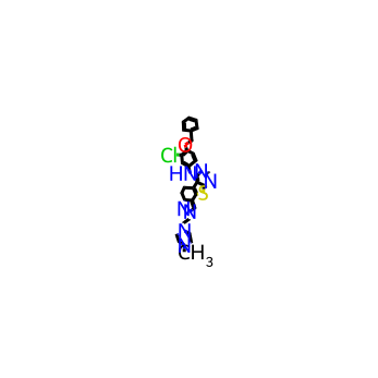 CN1CCN(CCn2cc3c(n2)CCc2c-3sc3ncnc(Nc4ccc(OCc5ccccc5)c(Cl)c4)c23)CC1